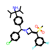 CC(C)C(N)(c1ccc([C@H](c2ccc(Cl)cc2)N2CC(=C(c3cc(F)cc(F)c3)S(C)(=O)=O)C2)cc1)C(C)C